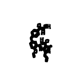 CCCc1nn(C)c2c(=O)[nH]c(-c3cc(Cc4ccc(C(=O)NO)cc4)ccc3OCC)nc12